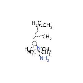 C=CCC(CCCC(=C)C=C)CC1CC(C)C(N(C=C)/C(C)=C(\C)CN)C1